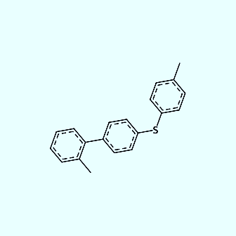 Cc1ccc(Sc2ccc(-c3ccccc3C)cc2)cc1